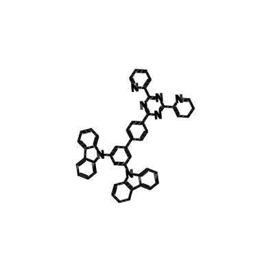 C1=Cc2c(c3ccccc3n2-c2cc(-c3ccc(-c4nc(C5=CCCC=N5)nc(-c5ccccn5)n4)cc3)cc(-n3c4ccccc4c4ccccc43)c2)CC1